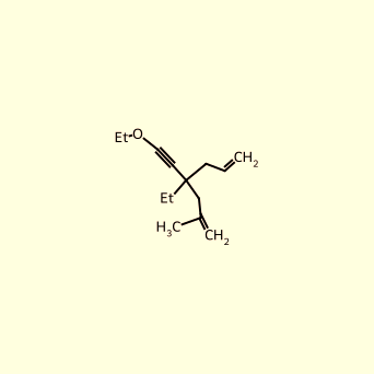 C=CCC(C#COCC)(CC)CC(=C)C